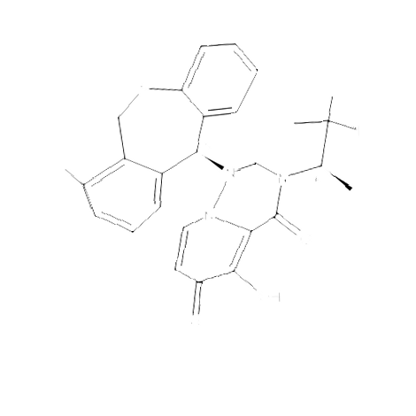 C[C@@H](N1CN([C@@H]2c3ccccc3SCc3c(F)cccc32)n2ccc(=O)c(O)c2C1=O)C(F)(F)F